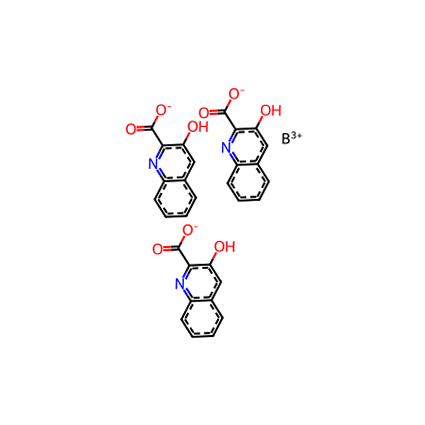 O=C([O-])c1nc2ccccc2cc1O.O=C([O-])c1nc2ccccc2cc1O.O=C([O-])c1nc2ccccc2cc1O.[B+3]